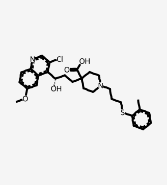 COc1ccc2ncc(Cl)c([C@@H](O)CCC3(C(=O)O)CCN(CCCSc4ccccc4C)CC3)c2c1